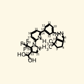 CC1(C)CCc2cnn(-c3cccc(-c4cccc(-n5ncc(C(O)O)c5C(F)(F)F)n4)c3)c21